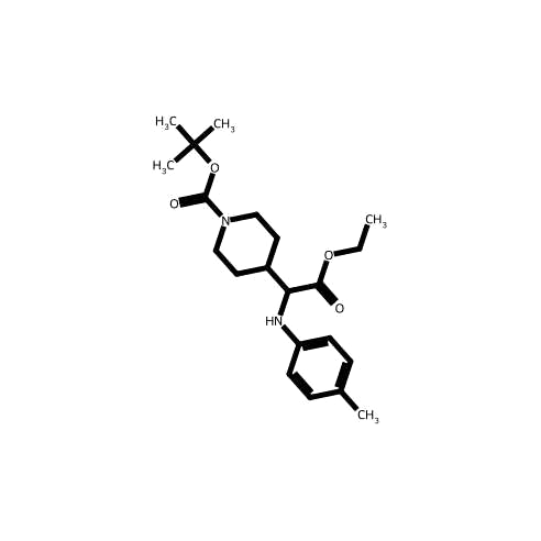 CCOC(=O)C(Nc1ccc(C)cc1)C1CCN(C(=O)OC(C)(C)C)CC1